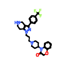 O=C1COc2ccccc2N1C1CCN(CCCn2nc(-c3ccc(C(F)(F)F)cc3)c3c2CCNC3)CC1